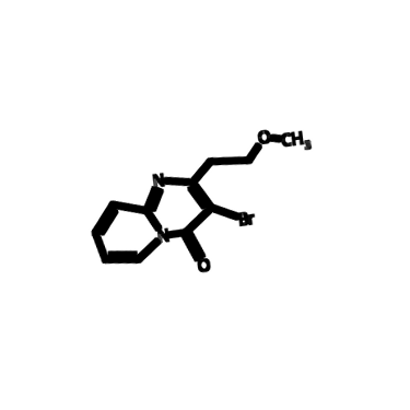 COCCc1nc2ccccn2c(=O)c1Br